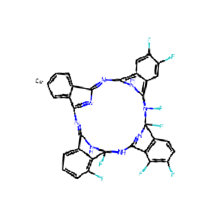 Fc1cc2c3[nH]c(c2cc1F)N(F)C1(F)N=C(NC2(F)N\C(=N/C4=N\C(=N/3)c3ccccc34)c3cccc(F)c32)c2c1ccc(F)c2F.[Cu]